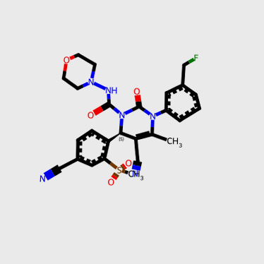 CC1=C(C#N)[C@@H](c2ccc(C#N)cc2S(C)(=O)=O)N(C(=O)NN2CCOCC2)C(=O)N1c1cccc(CF)c1